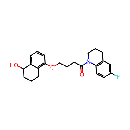 O=C(CCCOc1cccc2c1CCCC2O)N1CCCc2cc(F)ccc21